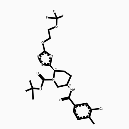 Cc1ccc(C(=O)N[C@H]2CC[C@H](c3nnc(OCCOC(F)(F)F)o3)N(C(=O)OC(C)(C)C)C2)cc1Cl